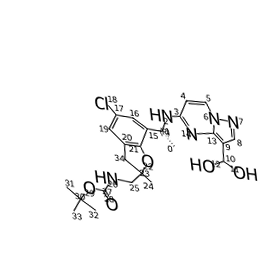 C[C@@H](Nc1ccn2ncc(C(O)O)c2n1)c1cc(Cl)cc2c1OC(C)(CNC(=O)OC(C)(C)C)C2